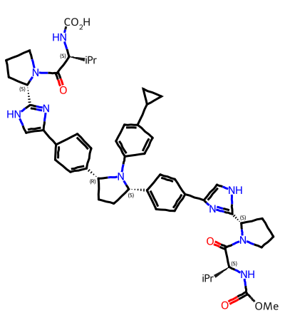 COC(=O)N[C@H](C(=O)N1CCC[C@H]1c1nc(-c2ccc([C@@H]3CC[C@H](c4ccc(-c5c[nH]c([C@@H]6CCCN6C(=O)[C@@H](NC(=O)O)C(C)C)n5)cc4)N3c3ccc(C4CC4)cc3)cc2)c[nH]1)C(C)C